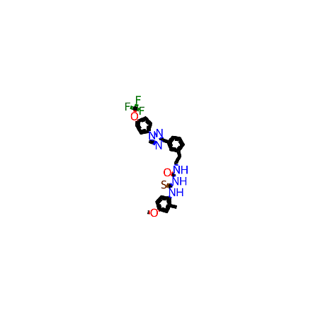 COc1ccc(NC(=S)NC(=O)NCCc2cccc(-c3ncn(-c4ccc(OC(F)(F)F)cc4)n3)c2)c(C)c1